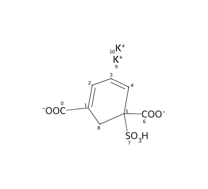 O=C([O-])C1=CC=CC(C(=O)[O-])(S(=O)(=O)O)C1.[K+].[K+]